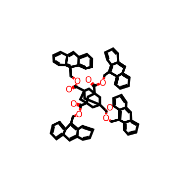 O=C(OCc1c2ccccc2cc2ccccc12)C12CC3(C(=O)OCc4c5ccccc5cc5ccccc45)CC(C(=O)OCc4c5ccccc5cc5ccccc45)(C1)CC(C(=O)OCc1c4ccccc4cc4ccccc14)(C2)C3